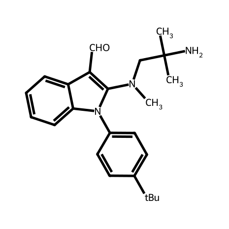 CN(CC(C)(C)N)c1c(C=O)c2ccccc2n1-c1ccc(C(C)(C)C)cc1